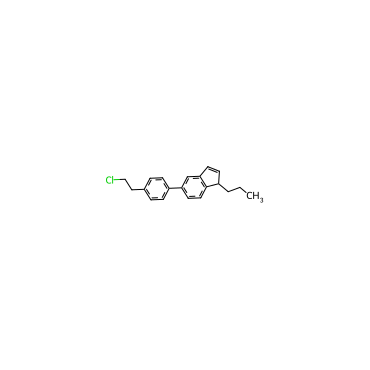 CCCC1C=Cc2cc(-c3ccc(CCCl)cc3)ccc21